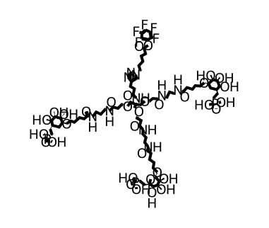 O=C(CCCCO[C@H]1O[C@H](CCP(=O)(O)O)[C@@H](O)[C@H](O)[C@@H]1O)NCCCNC(=O)CCOCC(COCCC(=O)NCCCNC(=O)CCCCO[C@H]1C[C@H](CCP(=O)(O)O)[C@@H](O)[C@H](O)[C@@H]1O)(COCCC(=O)NCCCNC(=O)CCCCO[C@H]1C[C@H](CCP(=O)(O)O)[C@@H](O)[C@H](O)[C@@H]1O)NC(=O)CCc1cn(CCCCCC(=O)Oc2c(F)c(F)c(F)c(F)c2F)nn1